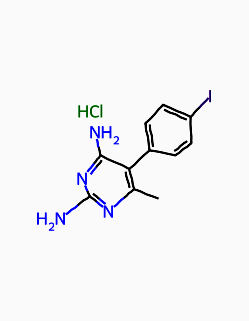 Cc1nc(N)nc(N)c1-c1ccc(I)cc1.Cl